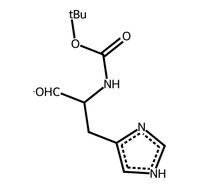 CC(C)(C)OC(=O)NC([C]=O)Cc1c[nH]cn1